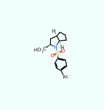 CC(=O)c1ccc(S(=O)(=O)N2[C@@H](C(=O)O)C[C@H]3CCC[C@H]32)cc1